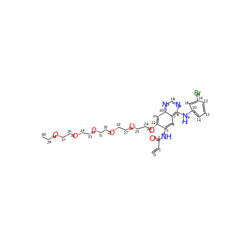 C=CC(=O)Nc1cc2c(Nc3cccc(Br)c3)ncnc2cc1OCCOCCOCCOCCOCCOCC